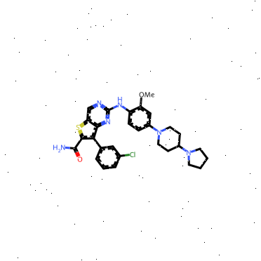 COc1cc(N2CCC(N3CCCC3)CC2)ccc1Nc1ncc2sc(C(N)=O)c(-c3cccc(Cl)c3)c2n1